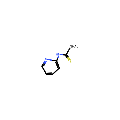 CC(=O)NC(=S)Nc1ccccn1